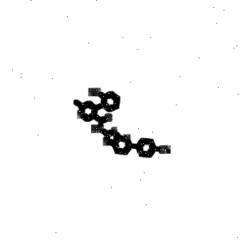 Cc1cc(-c2ccccc2C#N)c(C(=O)Nc2nc3ccc(-c4ccc(C#N)cc4)nc3s2)cn1